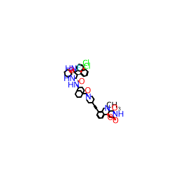 CN(Cc1c(C#CC2CCN(C(=O)C34CCCC(C3)C(NC(=O)[C@@H]3NC5(CCCCC5)[C@@]5(C(=O)Nc6cc(Cl)ccc65)[C@H]3c3cccc(Cl)c3F)CC4)CC2)cccc1C=O)C1CCC(=O)NC1=O